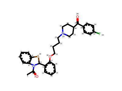 CC(=O)N1c2ccccc2SC1c1ccccc1OCCCCN1CCC(C(=O)c2ccc(F)cc2)CC1